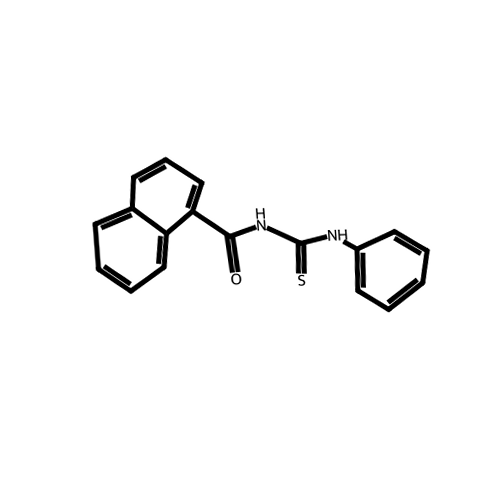 O=C(NC(=S)Nc1ccccc1)c1cccc2ccccc12